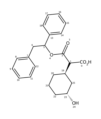 O=C(O)C(C(=O)OC(Cc1ccccc1)c1ccccc1)[C@@H]1CCC[C@@H](O)C1